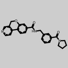 O=C(NCc1cccc(C(=O)N2CCCC2)c1)c1ccc2c(c1)OCc1cnccc1-2